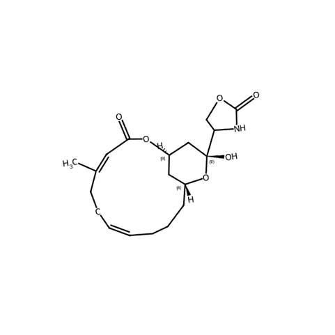 CC1=CC(=O)O[C@@H]2C[C@@H](CCCC=CCC1)O[C@@](O)(C1COC(=O)N1)C2